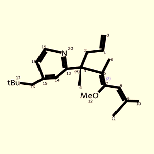 C=CC[C@](C)(/C(C)=C(/C=C(C)C)OC)c1cc(CC(C)(C)C)ccn1